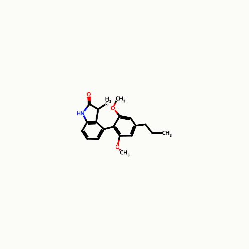 CCCc1cc(OC)c(-c2cccc3c2C(C)C(=O)N3)c(OC)c1